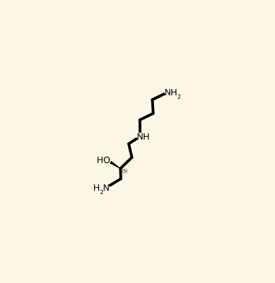 NCCCNCC[C@H](O)CN